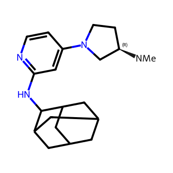 CN[C@@H]1CCN(c2ccnc(NC3C4CC5CC(C4)CC3C5)c2)C1